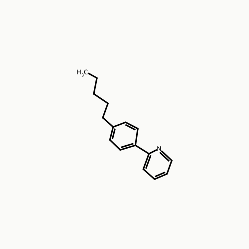 CCCCCc1ccc(-c2cc[c]cn2)cc1